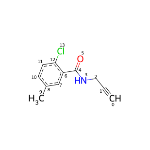 C#CCNC(=O)c1cc(C)ccc1Cl